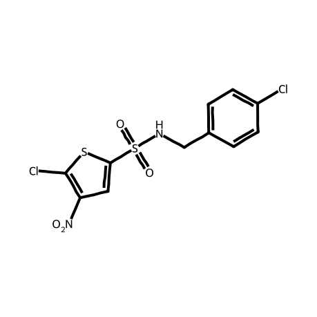 O=[N+]([O-])c1cc(S(=O)(=O)NCc2ccc(Cl)cc2)sc1Cl